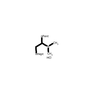 CCCCCCCCC(CCCCC)N(C)C.Cl